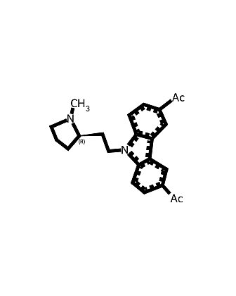 CC(=O)c1ccc2c(c1)c1cc(C(C)=O)ccc1n2CC[C@H]1CCCN1C